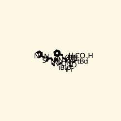 CC[C@H](C)[C@@H](C(=O)N[C@@H](Cc1ccccc1)[C@@H](O)CN(CCC(C)C)NC(=O)[C@@H](NC(=O)O)C(C)(C)C)N1CCN(Cc2csc(-c3cccnc3)n2)C1=O